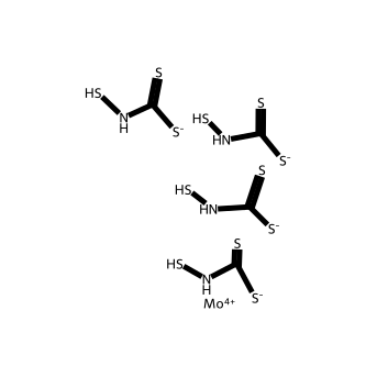 S=C([S-])NS.S=C([S-])NS.S=C([S-])NS.S=C([S-])NS.[Mo+4]